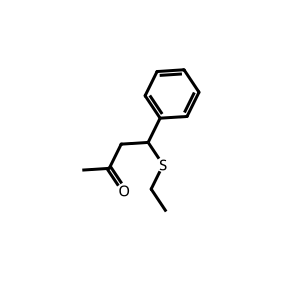 CCSC(CC(C)=O)c1ccccc1